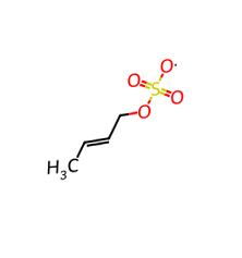 CC=CCOS([O])(=O)=O